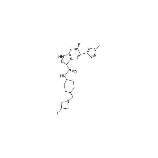 Cn1cc(-c2cc3c(C(=O)NC4CCC(CN5CC(F)C5)CC4)n[nH]c3cc2F)cn1